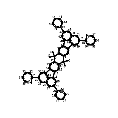 CC1(C)c2cc3c(cc2C(C)(C)c2cc4c(cc21)-c1cc(-c2ccccn2)cc2cc(-c5ccccn5)cc-4c12)-c1cc(-c2ccccn2)cc2cc(-c4ccccn4)cc-3c12